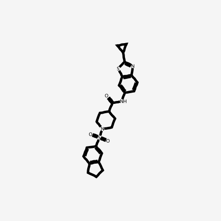 O=C(Nc1ccc2nc(C3CC3)sc2c1)C1CCN(S(=O)(=O)c2ccc3c(c2)CCC3)CC1